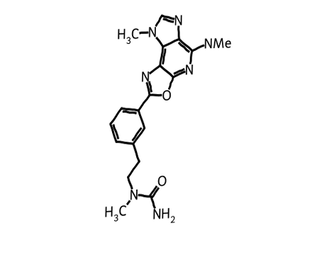 CNc1nc2oc(-c3cccc(CCN(C)C(N)=O)c3)nc2c2c1ncn2C